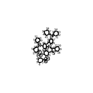 O=S1(=O)c2ccccc2S(=O)(=O)c2cc(-c3sc4ccccc4c3-n3c4ccc(N(c5ccccc5)c5ccccc5)cc4c4cc(N(c5ccccc5)c5ccccc5)ccc43)ccc21